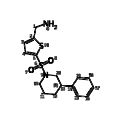 NCc1ccc(S(=O)(=O)N2C[CH]C[C@H](c3ccccc3)C2)s1